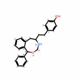 Oc1ccc(CCC2Cc3ccccc3C(c3ccccc3)OCN2)cc1